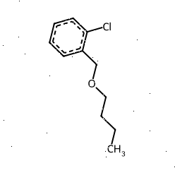 CCCCOCc1ccccc1Cl